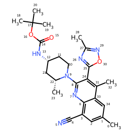 Cc1cc(C#N)c2nc(N3CC[C@@H](NC(=O)OC(C)(C)C)C[C@H]3C)c(-c3nc(C)no3)c(C)c2c1